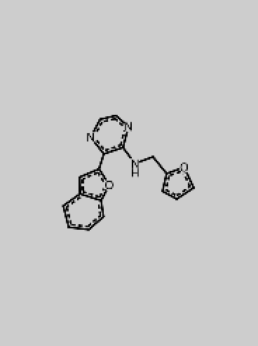 c1coc(CNc2nccnc2-c2cc3ccccc3o2)c1